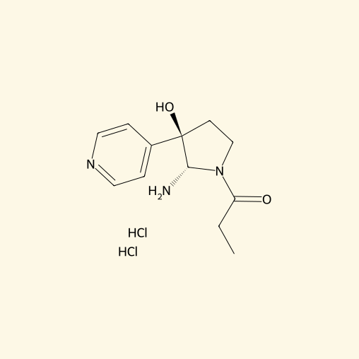 CCC(=O)N1CC[C@@](O)(c2ccncc2)[C@H]1N.Cl.Cl